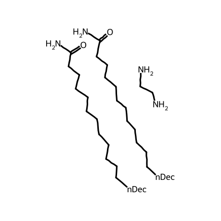 CCCCCCCCCCCCCCCCCCCCCC(N)=O.CCCCCCCCCCCCCCCCCCCCCC(N)=O.NCCN